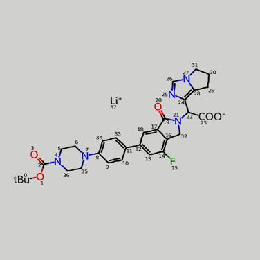 CC(C)(C)OC(=O)N1CCN(c2ccc(-c3cc(F)c4c(c3)C(=O)N(C(C(=O)[O-])c3ncn5c3CCC5)C4)cc2)CC1.[Li+]